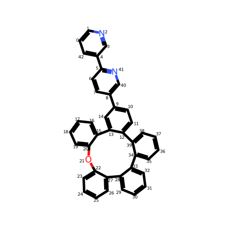 c1cncc(-c2ccc(-c3ccc4c(c3)-c3ccccc3Oc3ccccc3-c3ccccc3-c3ccccc3-4)cn2)c1